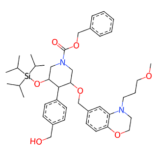 COCCCN1CCOc2ccc(COC3CN(C(=O)OCc4ccccc4)CC(O[Si](C(C)C)(C(C)C)C(C)C)C3c3ccc(CO)cc3)cc21